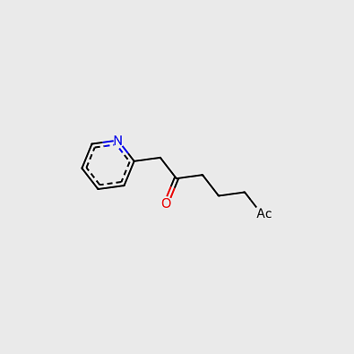 CC(=O)CCCC(=O)Cc1ccccn1